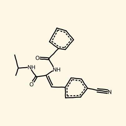 CC(C)NC(=O)C(=Cc1ccc(C#N)cc1)NC(=O)c1ccccc1